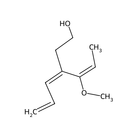 C=C/C=C(CCO)\C(=C/C)OC